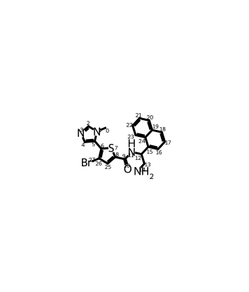 Cn1cncc1-c1sc(C(=O)NC(CN)c2cccc3ccccc23)cc1Br